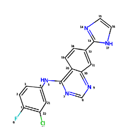 Fc1ccc(Nc2ncnc3cc(-c4ncc[nH]4)ccc23)cc1Cl